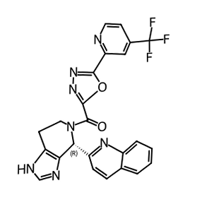 O=C(c1nnc(-c2cc(C(F)(F)F)ccn2)o1)N1CCc2[nH]cnc2[C@H]1c1ccc2ccccc2n1